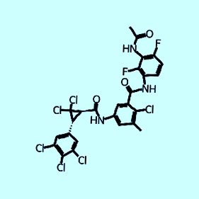 CC(=O)Nc1c(F)ccc(NC(=O)c2cc(NC(=O)[C@H]3[C@H](c4cc(Cl)c(Cl)c(Cl)c4)C3(Cl)Cl)cc(C)c2Cl)c1F